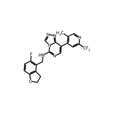 Cc1cnc(C(F)(F)F)cc1-c1cnc(NCc2c(F)ccc3c2CCO3)n2cnnc12